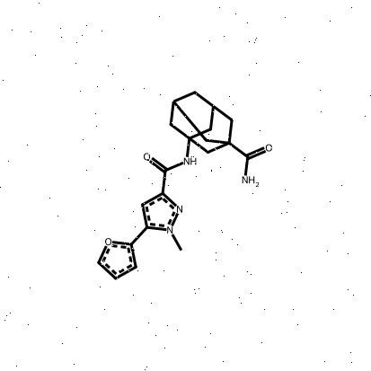 Cn1nc(C(=O)NC23CC4CC(C2)CC(C(N)=O)(C4)C3)cc1-c1ccco1